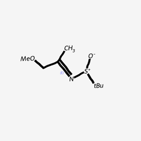 COC/C(C)=N/[S+]([O-])C(C)(C)C